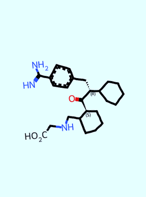 N=C(N)c1ccc(C[C@@H](C(=O)[C@H]2CCCCC2CNCC(=O)O)C2CCCCC2)cc1